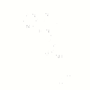 C[15N]1[13CH2][13CH2]N([13CH2]C2CCCN2[13CH2]C(=O)[15NH][13CH2][13CH2][13CH2][13C](=O)[15NH]CCC[13C](=O)O)[13CH2][13CH2]1